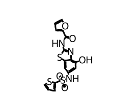 O=C(Nc1nc2c(O)cc(NS(=O)(=O)c3cccs3)cc2s1)c1ccco1